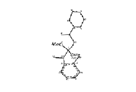 COC(CC(C)C1CCCCC1)(OC)C(C)c1ccccc1C(C)C